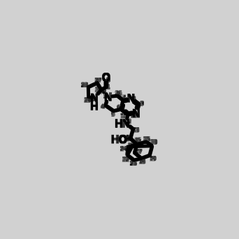 O=C[C@]1(N2CCc3c(ncnc3NC[C@@H](O)C34CC5CC(CC(C5)C3)C4)C2)CCCN1